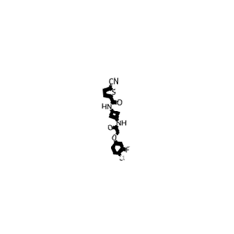 N#Cc1ccc(C(=O)NC2C=C(NC(=O)COc3ccc(Cl)c(F)c3)C2)s1